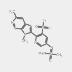 CCS(=O)(=O)c1cc(N=S(C)(=O)NC)cnc1-c1nc2cc(C(F)(F)F)nnc2n1C